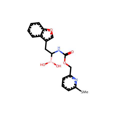 CSc1cccc(COC(=O)NC(Cc2coc3ccccc23)B(O)O)n1